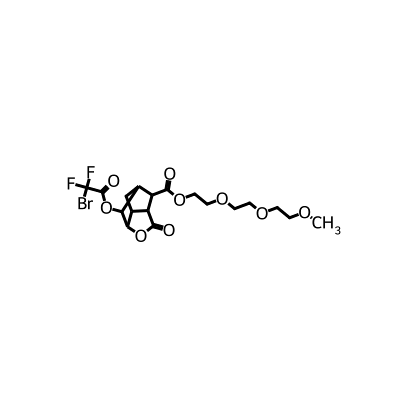 COCCOCCOCCOC(=O)C1C2CC3C(OC(=O)C31)C2OC(=O)C(F)(F)Br